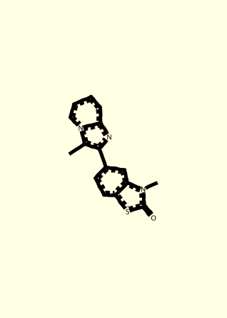 Cc1c(-c2ccc3sc(=O)n(C)c3c2)nc2ccccn12